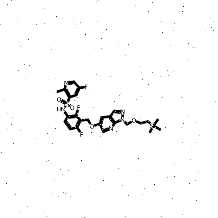 Cc1ncc(F)cc1S(=O)(=O)Nc1ccc(F)c(COc2cnc3c(cnn3COCC[Si](C)(C)C)c2)c1F